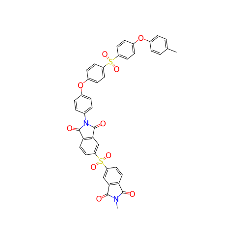 Cc1ccc(Oc2ccc(S(=O)(=O)c3ccc(Oc4ccc(N5C(=O)c6ccc(S(=O)(=O)c7ccc8c(c7)C(=O)N(C)C8=O)cc6C5=O)cc4)cc3)cc2)cc1